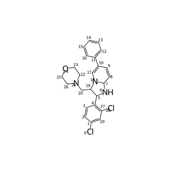 Clc1ccc(C2NC3C=CC(c4ccccc4)=CN3C2CN2CCOCC2)c(Cl)c1